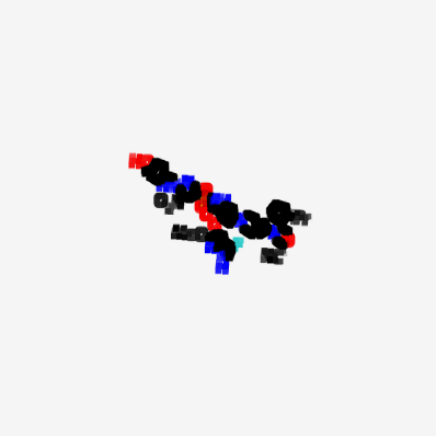 COc1nc2[nH]cc(F)c2cc1Oc1cc(N2CCC3(CC2)CC(N2C[C@@H](CC#N)OC[C@H]2c2ccccc2C(C)C)C3)ccc1C(=O)NS(=O)(=O)c1cnc(NCC2CCC(C)(O)CC2)c([N+](=O)[O-])c1